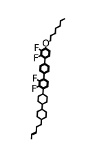 C/C=C/CCC1CCC(C2CCC(c3ccc(-c4ccc(-c5ccc(OCCCCCCC)c(F)c5F)cc4)c(F)c3F)CC2)CC1